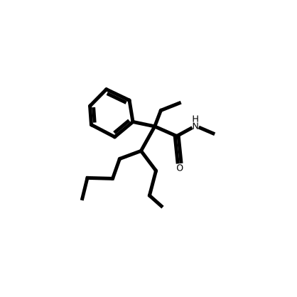 CCCCC(CCC)C(CC)(C(=O)NC)c1ccccc1